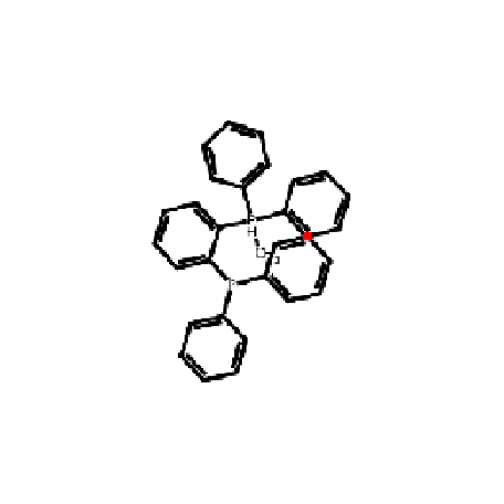 C[PH](c1ccccc1)(c1ccccc1)c1ccccc1P(c1ccccc1)c1ccccc1